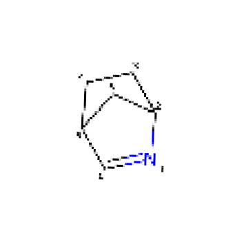 C1=NC2CCC1C2